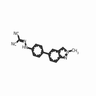 Cn1cc2cc(-c3ccc(NN=C(C#N)C#N)cc3)ccc2n1